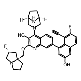 C#Cc1c(F)ccc2cc(O)cc(-c3ccc4c(N5C[C@H]6CC[C@@H](C5)N6)c(C#N)c(OC[C@@]56CCCN5C[C@H](F)C6)nc4c3)c12